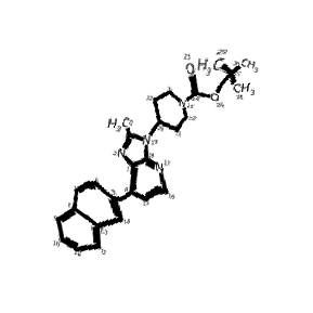 Cc1nc2c(-c3ccc4ccccc4c3)ccnc2n1C1CCN(C(=O)OC(C)(C)C)CC1